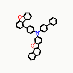 c1ccc(-c2ccc(N(c3ccc(-c4cccc5oc6ccccc6c45)cc3)c3ccc4c(c3)oc3c5ccccc5ccc43)cc2)cc1